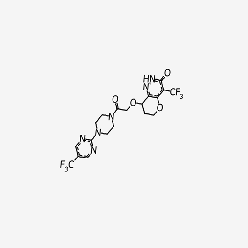 O=C(COC1CCOc2c1n[nH]c(=O)c2C(F)(F)F)N1CCN(c2ncc(C(F)(F)F)cn2)CC1